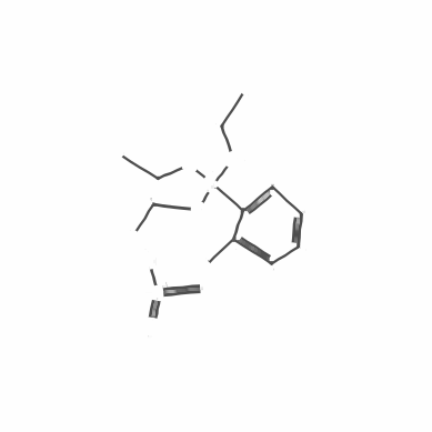 CCO[Si](OCC)(OCC)c1ccccc1C.O=[SH](O)=S